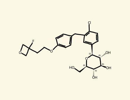 OC[C@H]1O[C@@H](c2ccc(Cl)c(Cc3ccc(OCCC4(F)COC4)cc3)c2)[C@H](O)[C@@H](O)[C@@H]1O